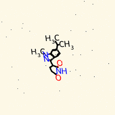 CCC(C)c1ccc2c(C3CCC(=O)NC3=O)nn(C)c2c1